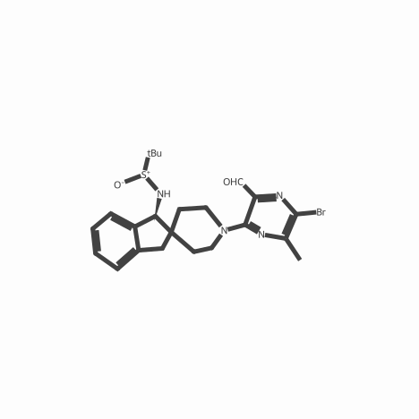 Cc1nc(N2CCC3(CC2)Cc2ccccc2[C@H]3N[S+]([O-])C(C)(C)C)c(C=O)nc1Br